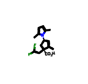 CC1=C[C@@H](n2c(C)ccc2C)C[C@@]1(CC(F)F)C(=O)O